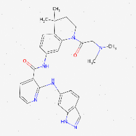 CN(C)CC(=O)N1CCC(C)(C)c2ccc(NC(=O)c3cccnc3Nc3ccc4cn[nH]c4c3)cc21